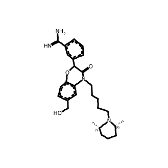 C[C@@H]1CCC[C@H](C)N1CCCCCN1C(=O)C(c2cccc(C(=N)N)c2)Oc2ccc(CO)cc21